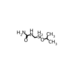 CC(C)O[SiH2]CNC(N)=O